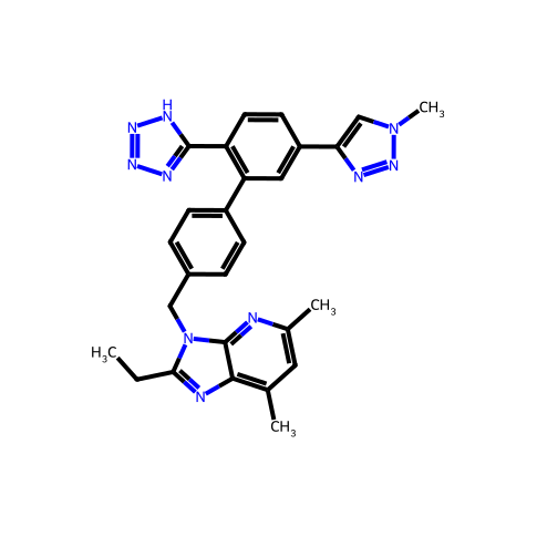 CCc1nc2c(C)cc(C)nc2n1Cc1ccc(-c2cc(-c3cn(C)nn3)ccc2-c2nnn[nH]2)cc1